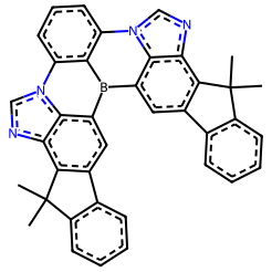 CC1(C)c2ccccc2-c2cc3c4c(ncn4-c4cccc5c4B3c3cc4c(c6ncn-5c36)C(C)(C)c3ccccc3-4)c21